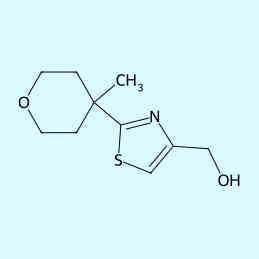 CC1(c2nc(CO)cs2)CCOCC1